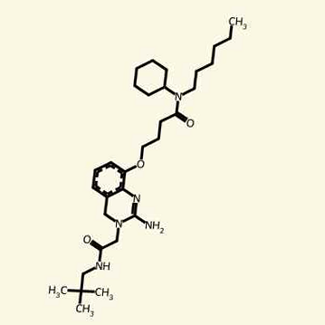 CCCCCCN(C(=O)CCCOc1cccc2c1N=C(N)N(CC(=O)NCC(C)(C)C)C2)C1CCCCC1